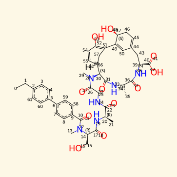 CCc1ccc(-c2ccc(C(=O)N(C)[C@H](CO)C(=O)N[C@H](C)C(=O)NCC(=O)N(C)[C@@H]3C(=O)N[C@@H](C)C(=O)N[C@H](C(=O)O)CC4=CC[C@H](O)C(=C4)C4=C(O)C=C[C@H]3C4)cc2)cc1